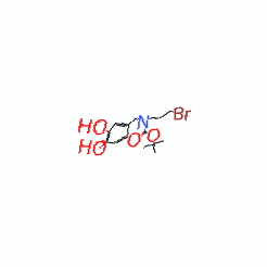 CC(C)(C)OC(=O)N(CCCBr)Cc1ccc(O)c(O)c1